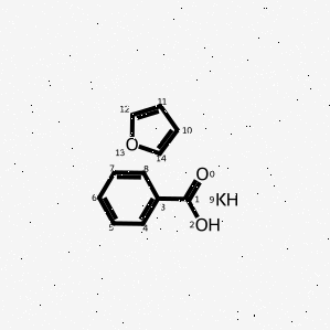 O=C(O)c1ccccc1.[KH].c1ccoc1